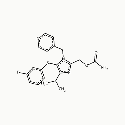 CC(C)c1nc(COC(N)=O)n(Cc2ccncc2)c1Sc1cccc(F)c1